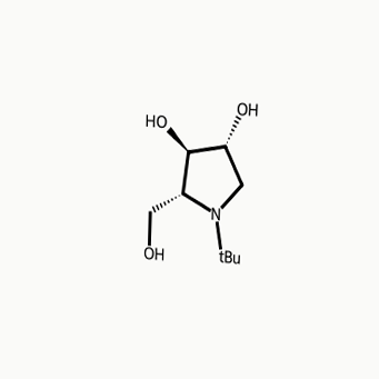 CC(C)(C)N1C[C@@H](O)[C@H](O)[C@H]1CO